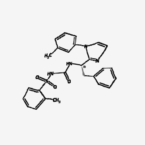 Cc1cccc(-n2ccnc2[C@H](Cc2ccccc2)NC(=O)NS(=O)(=O)c2ccccc2C)c1